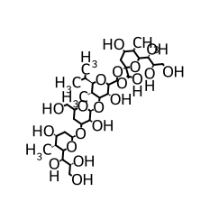 CC(C)[C@H]1OC(CO[C@]2(C(=O)O)C[C@@H](O)[C@@H](C)C([C@H](O)[C@H](O)CO)O2)[C@H](O)C(O[C@@H]2OC(CO)CC(O[C@@H]3C[C@@H](O)[C@@H](C)C([C@H](O)[C@H](O)CO)O3)[C@@H]2O)[C@@H]1C